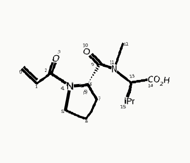 C=CC(=O)N1CCC[C@H]1C(=O)N(C)C(C(=O)O)C(C)C